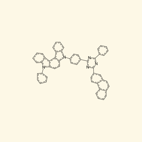 c1ccc(-c2nc(-c3ccc(-n4c5ccccc5c5c6c7ccccc7n(-c7ccccc7)c6ccc54)cc3)nc(-c3ccc4c(ccc5ccccc54)c3)n2)cc1